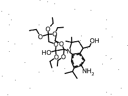 CCOC(COC(O)(OCC)C(OCC)(OCC)N1c2cc(C(C)C)c(N)cc2C(CO)CC1(C)C)(OCC)OCC